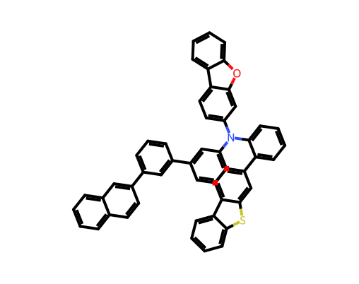 c1cc(-c2cccc(N(c3ccc4c(c3)oc3ccccc34)c3ccccc3-c3ccc4c(c3)sc3ccccc34)c2)cc(-c2ccc3ccccc3c2)c1